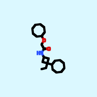 CCC1(C2CCCCCCC2)CC(NC(=O)COC2CCCCCCC2)C1